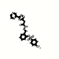 O=C(Cc1nc(-c2cnccn2)no1)N/N=C/c1ccccc1OS(=O)(=O)c1ccc(C(F)(F)F)cc1